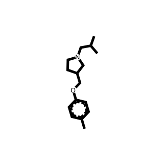 C[C](C)CN1CCC(COc2ccc(C)cc2)C1